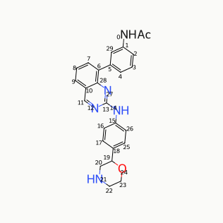 CC(=O)Nc1cccc(-c2cccc3cnc(Nc4ccc(C5CNCCO5)cc4)nc23)c1